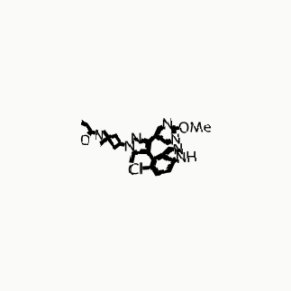 C=CC(=O)N1CC2(CC(n3nc(-c4cnc(OC)nc4)c(-c4c(Cl)ccc5[nH]ncc45)c3C)C2)C1